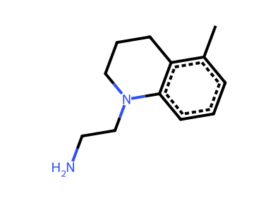 Cc1cccc2c1CCCN2CCN